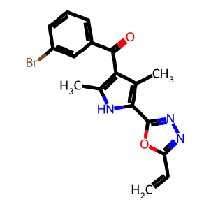 C=Cc1nnc(-c2[nH]c(C)c(C(=O)c3cccc(Br)c3)c2C)o1